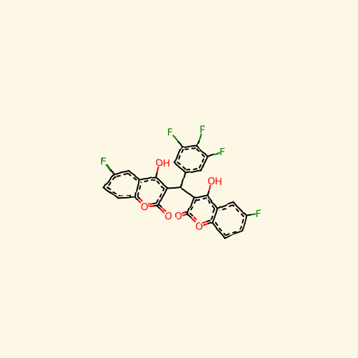 O=c1oc2ccc(F)cc2c(O)c1C(c1cc(F)c(F)c(F)c1)c1c(O)c2cc(F)ccc2oc1=O